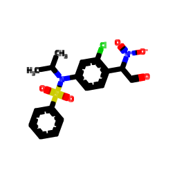 CC(C)N(c1ccc(C(C=O)[N+](=O)[O-])c(Cl)c1)S(=O)(=O)c1ccccc1